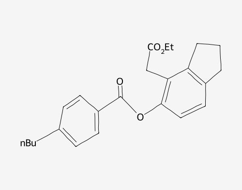 CCCCc1ccc(C(=O)Oc2ccc3c(c2CC(=O)OCC)CCC3)cc1